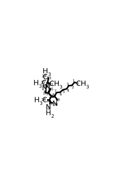 CCCCCCCCc1cnc(N)c(C)c1-c1cnn(C(C)(C)CC)c1